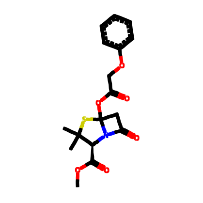 COC(=O)[C@@H]1N2C(=O)CC2(OC(=O)COc2ccccc2)SC1(C)C